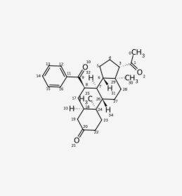 CC(=O)[C@H]1CC[C@H]2[C@@H]3[C@H](C(=O)c4ccccc4)C[C@@H]4CC(=O)CC[C@]4(C)[C@H]3CC[C@]12C